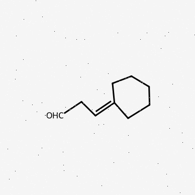 O=[C]CC=C1CCCCC1